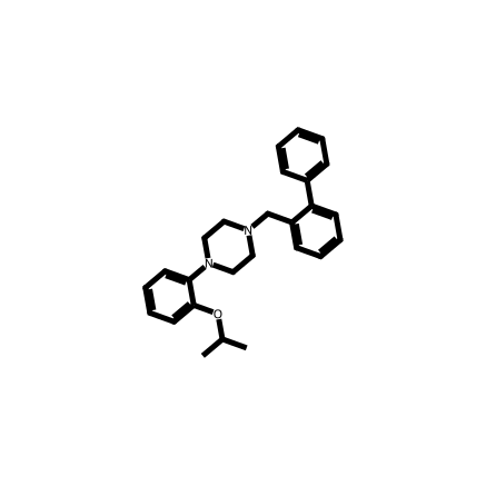 CC(C)Oc1ccccc1N1CCN(Cc2ccccc2-c2ccccc2)CC1